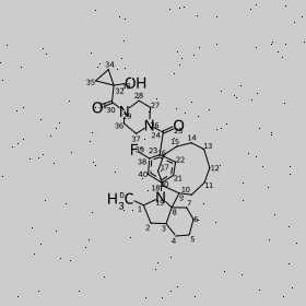 CC1CC2CCCCC2(C2CCCCCCCCC2)N1c1ccc(C(=O)N2CCN(C(=O)C3(O)CC3)CC2)c(F)c1